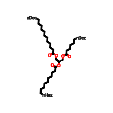 CCCCCC/C=C\CCCCCCCC(=O)O[C@H](COC(=O)CCCCCCCCCCCCCCC)COC(=O)CCCCCCCCCCCCCCCCCCCCC